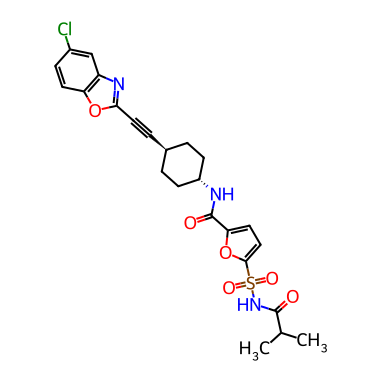 CC(C)C(=O)NS(=O)(=O)c1ccc(C(=O)N[C@H]2CC[C@H](C#Cc3nc4cc(Cl)ccc4o3)CC2)o1